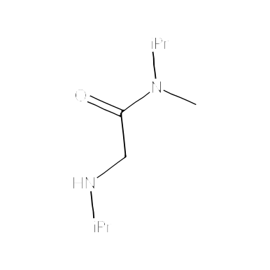 CC(C)NCC(=O)N(C)C(C)C